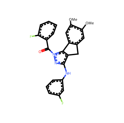 COc1cc2c(cc1OC)-c1c(c(Nc3cccc(F)c3)nn1C(=O)c1ccccc1F)C2